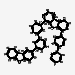 c1ccc(-c2ccc(-c3cccc4c3sc3c(-c5cccc(-c6cccc(-c7ccc8oc9ccccc9c8c7)c6)c5)ncnc34)cc2)cc1